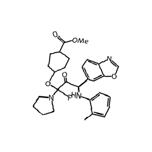 COC(=O)C1CCC(OC(F)(C(=O)C(Nc2ccccc2C)c2ccc3ncoc3c2)N2CCCC2)CC1